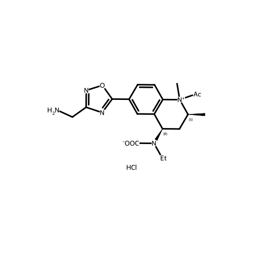 CCN(C(=O)[O-])[C@@H]1C[C@H](C)[N+](C)(C(C)=O)c2ccc(-c3nc(CN)no3)cc21.Cl